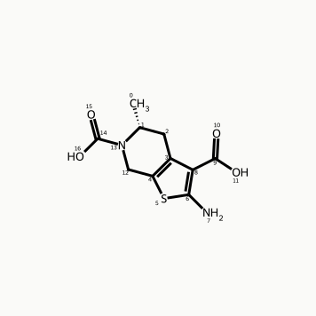 C[C@@H]1Cc2c(sc(N)c2C(=O)O)CN1C(=O)O